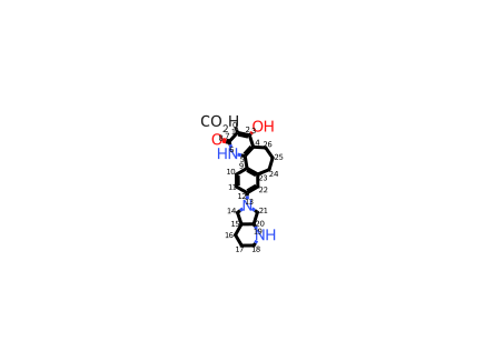 O=C(O)c1c(O)c2c([nH]c1=O)-c1ccc(N3CC4CCCNC4C3)cc1CCC2